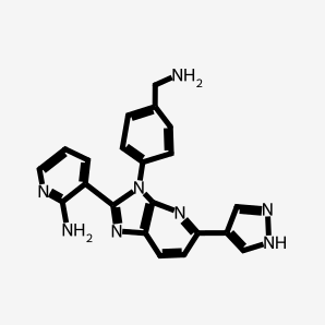 NCc1ccc(-n2c(-c3cccnc3N)nc3ccc(-c4cn[nH]c4)nc32)cc1